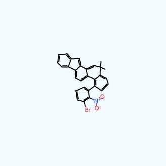 CC1(C)C=c2c(ccc3c2=Cc2ccccc2-3)-c2c(-c3cccc(Br)c3[N+](=O)[O-])cccc21